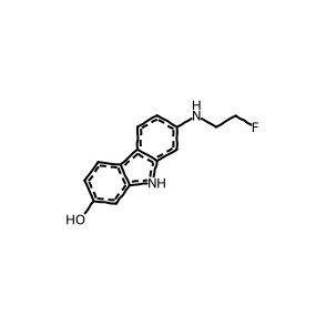 Oc1ccc2c(c1)[nH]c1cc(NCCF)ccc12